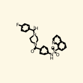 [2H]C(c1ccc(F)cc1)N1CCN(C(=O)c2ccc(NS(=O)(=O)c3cccc4cccnc34)cc2)CC1